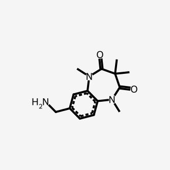 CN1C(=O)C(C)(C)C(=O)N(C)c2cc(CN)ccc21